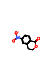 O=C1OCCc2cc([N+](=O)[O-])ccc21